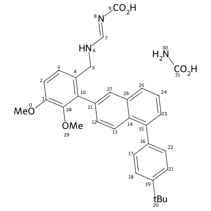 COc1ccc(CNC=NC(=O)O)c(-c2ccc3c(-c4ccc(C(C)(C)C)cc4)cccc3c2)c1OC.NC(=O)O